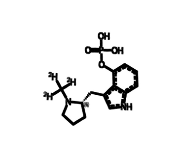 [2H]C([2H])([2H])N1CCC[C@H]1Cc1c[nH]c2cccc(OP(=O)(O)O)c12